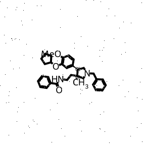 COc1ccc([C@H]2CN(Cc3ccccc3)C[C@@]2(C)CCNC(=O)c2ccccc2)cc1OC1CCCC1